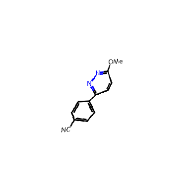 COc1ccc(-c2ccc(C#N)cc2)nn1